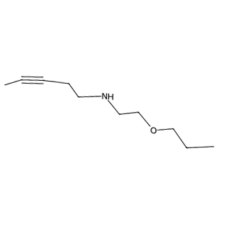 CC#CCCNCCOCCC